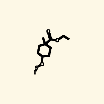 CCOC(=O)C1(C)CCC(OSI)CC1